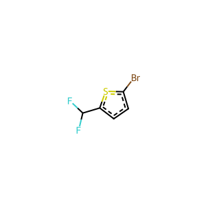 FC(F)c1ccc(Br)s1